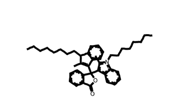 CCCCCCCCC1C(C)=C(C2(c3c(C)n(CCCCCCCC)c4ccccc34)OC(=O)c3ccccc32)c2ccccc21